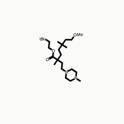 COCCC(C)(C)CCC(C)(CCN1CCN(C)CC1)C(=O)OCCC(C)(C)C